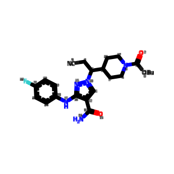 CC(C)COC(=O)N1CCC(C(CC#N)n2cc(C(N)=O)c(Nc3ccc(F)cc3)n2)CC1